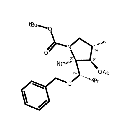 CC(=O)O[C@@H]1[C@@H](C)CN(C(=O)OC(C)(C)C)[C@]1(C#N)[C@@H](OCc1ccccc1)C(C)C